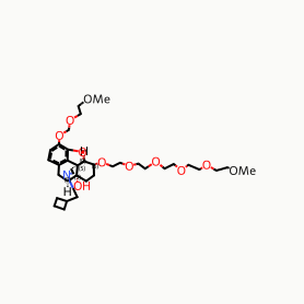 COCCOCCOCCOCCOCCO[C@H]1CC[C@@]2(O)[C@H]3Cc4ccc(OCOCCOC)c5c4[C@@]2(CCN3CC2CCC2)[C@H]1O5